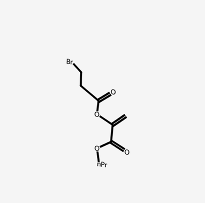 C=C(OC(=O)CCBr)C(=O)OCCC